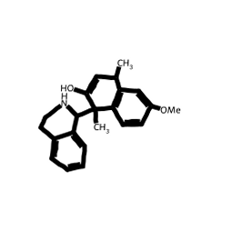 COc1ccc2c(c1)C(C)C=C(O)C2(C)C1NCCc2ccccc21